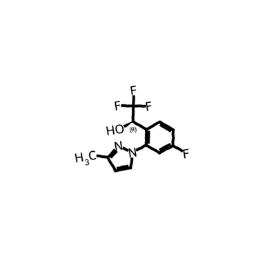 Cc1ccn(-c2cc(F)ccc2[C@@H](O)C(F)(F)F)n1